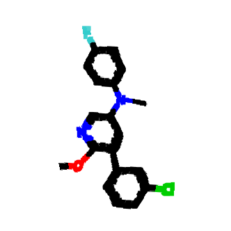 COc1ncc(N(C)c2ccc(F)cc2)cc1-c1cccc(Cl)c1